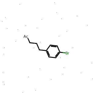 CC(=O)CCCc1ccc(Br)cc1